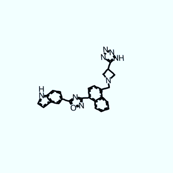 c1ccc2c(-c3noc(-c4ccc5[nH]ccc5c4)n3)ccc(CN3CC(c4nnn[nH]4)C3)c2c1